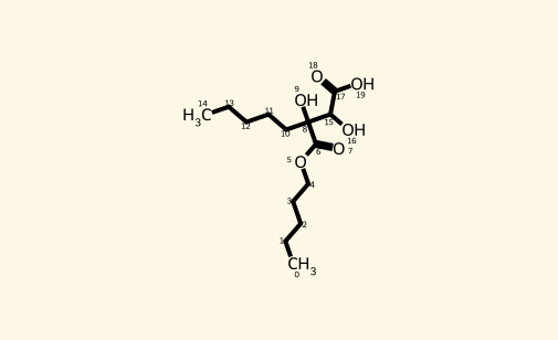 CCCCCOC(=O)C(O)(CCCCC)C(O)C(=O)O